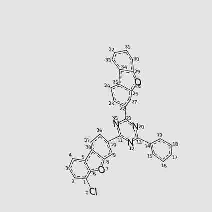 Clc1cccc2c1oc1cc(-c3nc(-c4ccccc4)nc(-c4ccc5c(c4)oc4ccccc45)n3)ccc12